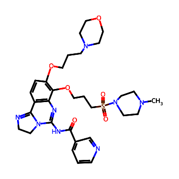 CN1CCN(S(=O)(=O)CCCOc2c(OCCCN3CCOCC3)ccc3c2N=C(NC(=O)c2cccnc2)N2CCN=C32)CC1